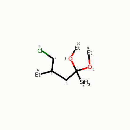 CCOC([SiH3])(CC(CC)CCl)OCC